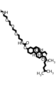 CC(C)CCC[C@@H](C)[C@H]1CC[C@H]2[C@@H]3CC=C4CC(OC(=O)NCCCOCCOCCOCCNI)CC[C@]4(C)[C@H]3CC[C@]12C